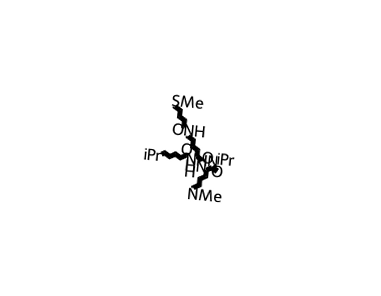 CNCCCCC(NC(=O)C(CCCCNC(=O)CCCCSC)NC(=O)CCCCC(C)C)C(=O)NC(C)C